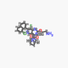 CC(C)(C)OC(=O)N1[C@@H]2CC[C@H]1CN(c1nc(OCCN)nc3c(F)c(-c4cccc5cccc(Cl)c45)ncc13)C2